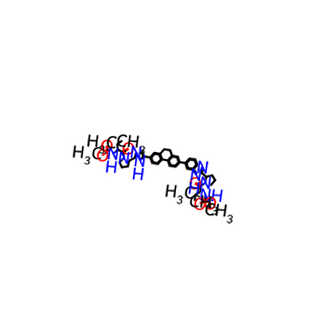 COC(=O)NC(C(=O)N1CCCC1c1ncc(-c2ccc3c(c2)CCc2cc(-c4ccc5nc(C6CCCN6C(=O)C(NC(=O)OC)C(C)C)[nH]c5c4)ccc2-3)[nH]1)C(C)C